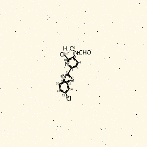 CN(C=O)c1ccc(-c2nc3ccc(Cl)cc3s2)nc1Cl